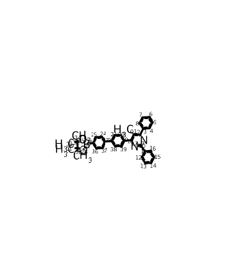 Cc1c(-c2ccccc2)nc(-c2ccccc2)nc1-c1ccc(-c2ccc(B3OC(C)(C)C(C)(C)O3)cc2)cc1